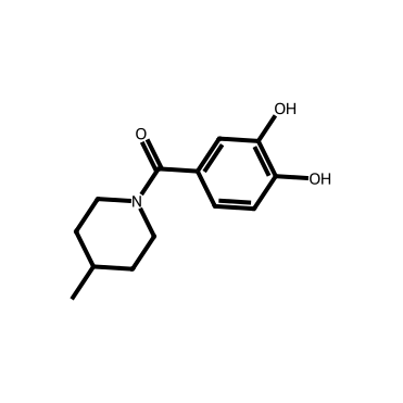 CC1CCN(C(=O)c2ccc(O)c(O)c2)CC1